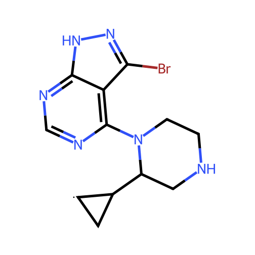 Brc1n[nH]c2ncnc(N3CCNCC3C3[CH]C3)c12